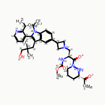 COC(=O)[C@@H]1CCCN(C(=O)[C@H](CN2CC(c3ccc4c(c3)c(CC(C)(C)CO)c(-c3cccnc3[C@H](C)OC)n4CC(F)(F)F)C2)NC(=O)OC(C)(C)C)N1